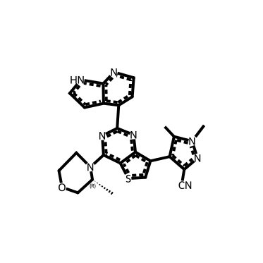 Cc1c(-c2csc3c(N4CCOC[C@H]4C)nc(-c4ccnc5[nH]ccc45)nc23)c(C#N)nn1C